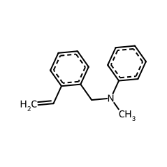 C=Cc1ccccc1CN(C)c1ccccc1